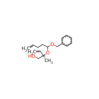 C=CCCC(OCc1ccccc1)O[C@](C)(C=C)CO